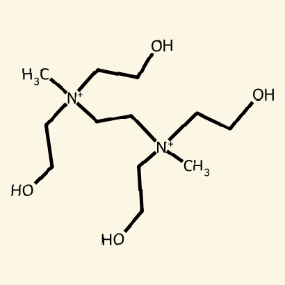 C[N+](CCO)(CCO)CC[N+](C)(CCO)CCO